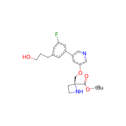 CC(C)(C)OC(=O)[C@@]1(COc2cncc(-c3cc(F)cc(CCCO)c3)c2)CCN1